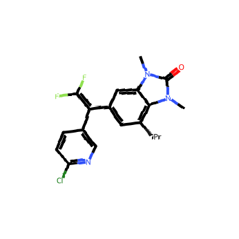 CC(C)c1cc(C(=C(F)F)c2ccc(Cl)nc2)cc2c1n(C)c(=O)n2C